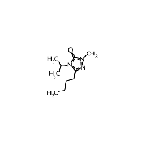 CCCCc1nn(C)c(=O)n1C(C)C